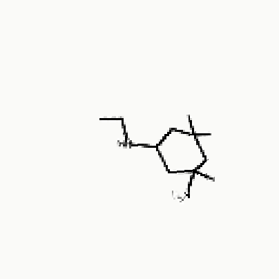 CCNC1CC(C)(C)CC(C)(N)C1